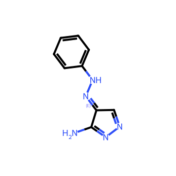 NC1=NN=C/C1=N\Nc1ccccc1